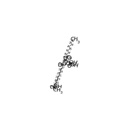 CCCCCCCCCC(=O)O[C@H](COC(=O)CCCCCCCCCCNC(C)=O)COP(=O)(O)O